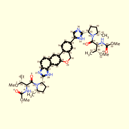 CC[C@@H](OC)[C@H](NC(=O)OC)C(=O)N1[C@@H](C)CC[C@H]1c1nc2ccc3cc4c(cc3c2[nH]1)OCc1cc(-c2cnc([C@@H]3CC[C@H](C)N3C(=O)[C@@H](NC(=O)OC)[C@@H](C)OC)[nH]2)ccc1-4